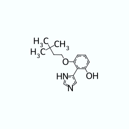 CC(C)(C)CCOc1cccc(O)c1-c1cnc[nH]1